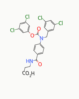 O=C(O)CCNC(=O)c1ccc(N(Cc2cc(Cl)cc(Cl)c2)C(=O)Oc2cc(Cl)cc(Cl)c2)cc1